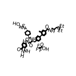 CCN(CC)CCCNC(=O)c1ccc(-c2ccc(C[C@H](NC(=O)[C@H]3CC[C@H](CNC(=O)O)CC3)C(=O)Nc3ccc4c(=O)[nH][nH]c4c3)cc2)c(C)c1.O=C(O)C(F)(F)F